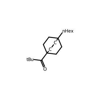 CCCCCCC12CCC(C(=O)C(C)(C)C)(CC1)CC2